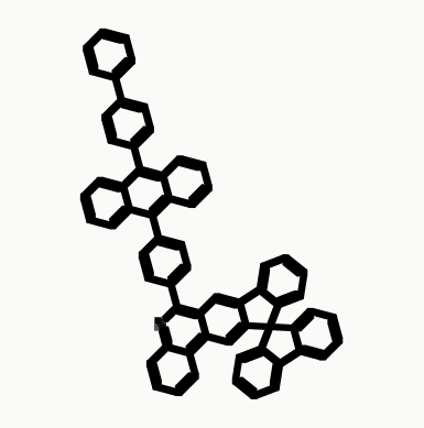 c1ccc(-c2ccc(-c3c4ccccc4c(-c4ccc(-c5nc6ccccc6c6cc7c(cc56)-c5ccccc5C75c6ccccc6-c6ccccc65)cc4)c4ccccc34)cc2)cc1